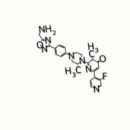 CC1C(=O)C=C(c2ccncc2F)N=C1N1CCN(c2ccc(-c3noc(CN)n3)cc2)C[C@H]1C